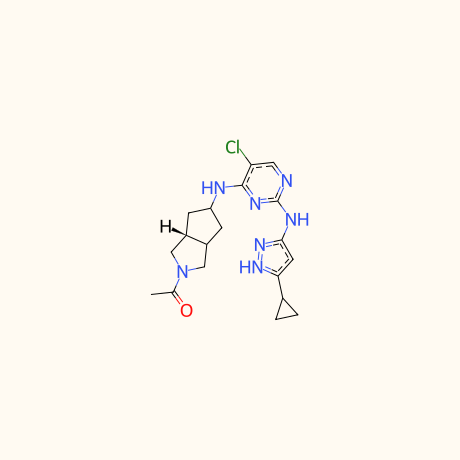 CC(=O)N1CC2CC(Nc3nc(Nc4cc(C5CC5)[nH]n4)ncc3Cl)C[C@H]2C1